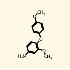 COc1ccc(Oc2ccc(N)cc2OC)cc1